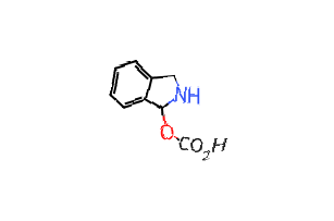 O=C(O)OC1NCc2ccccc21